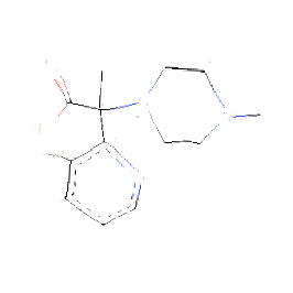 CN1CCN(C(C)(C(=O)O)c2ncccc2Cl)CC1